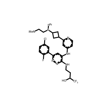 CCCN(CCNC)C1CC(c2cc(Nc3cc(-c4cc(Cl)ccc4F)nnc3NCCC(O)C(F)(F)F)ccn2)C1